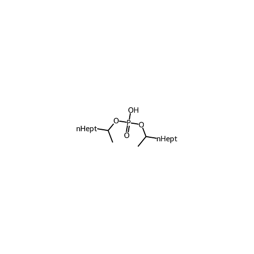 CCCCCCCC(C)OP(=O)(O)OC(C)CCCCCCC